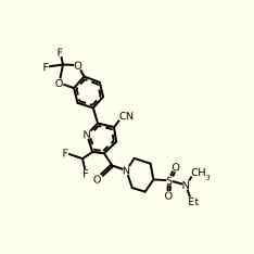 CCN(C)S(=O)(=O)C1CCN(C(=O)c2cc(C#N)c(-c3ccc4c(c3)OC(F)(F)O4)nc2C(F)F)CC1